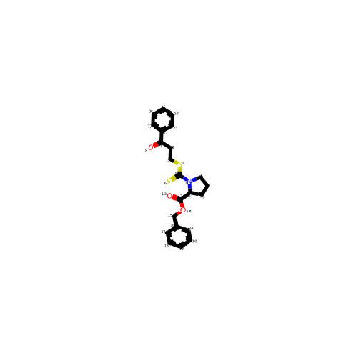 O=C(CCSC(=S)N1CCCC1C(=O)OCc1ccccc1)c1ccccc1